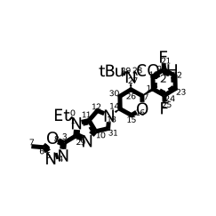 CCn1c(-c2nnc(C)o2)nc2c1CN([C@H]1CO[C@H](c3cc(F)ccc3F)[C@@H](N(C(=O)O)C(C)(C)C)C1)C2